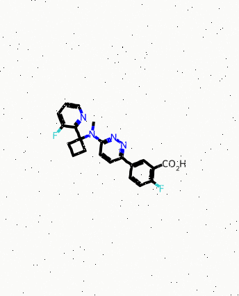 CN(c1ccc(-c2ccc(F)c(C(=O)O)c2)nn1)C1(c2ncccc2F)CCC1